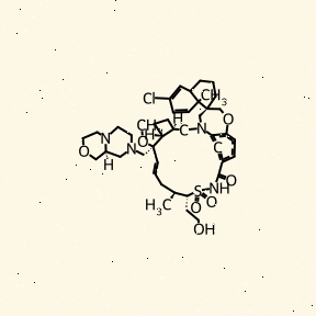 CO[C@]1(CN2CCN3CCOC[C@@H]3C2)/C=C/C[C@H](C)[C@@H](CCO)S(=O)(=O)NC(=O)c2ccc3c(c2)N(C[C@@H]2CC[C@H]21)C[C@@]1(CCCC2C=C(Cl)C=CC21C)CO3